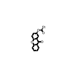 CCC(=O)Oc1ccc2oc3ccccc3c(=O)c2c1